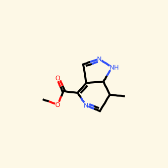 COC(=O)C1=C2C=NNC2C(C)C=N1